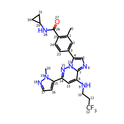 Cc1cc(-c2cnc3c(NCCC(F)(F)F)cc(-c4ccnn4C)nn23)ccc1C(=O)NC1CC1